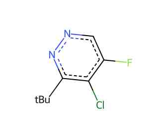 CC(C)(C)c1nncc(F)c1Cl